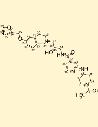 CC(=O)N1CCC(Nc2cc(C(=O)NC[C@H](O)CN3CCc4cc(OCc5cnco5)ccc4C3)ccn2)CC1